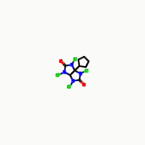 O=C1N(Cl)C2N(Cl)C(=O)N(Cl)C2(C2CCCC2)N1Cl